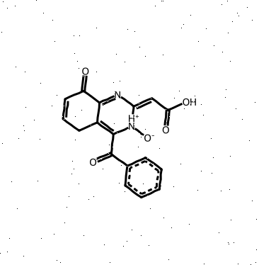 O=C(O)C=C1N=C2C(=O)C=CCC2=C(C(=O)c2ccccc2)[NH+]1[O-]